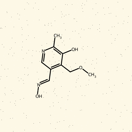 COCc1c(C=NO)cnc(C)c1O